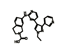 CCn1cc(-c2ccnc(Nc3ccc4c(c3)CN(C(=O)O)CC4)n2)c(-c2cccnc2)n1